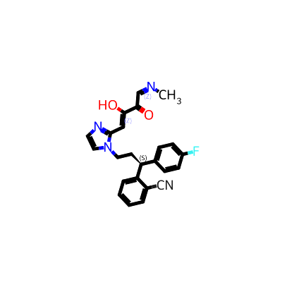 C/N=C\C(=O)/C(O)=C/c1nccn1CC[C@@H](c1ccc(F)cc1)c1ccccc1C#N